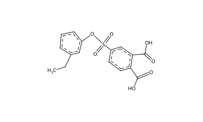 CCc1cccc(OS(=O)(=O)c2ccc(C(=O)O)c(C(=O)O)c2)c1